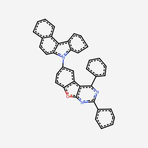 c1ccc(-c2nc(-c3ccccc3)c3c(n2)oc2ccc(-n4c5ccccc5c5c6ccccc6ccc54)cc23)cc1